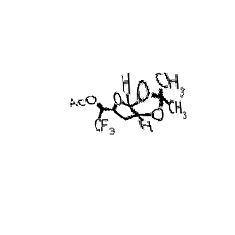 CC(=O)OC([C@@H]1C[C@H]2OC(C)(C)O[C@H]2O1)C(F)(F)F